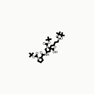 CC(C)(C)OC(=O)N1CCCC1C(=O)NC1CN(C(=O)OC(C)(C)C)C(CCCCB2OC(C)(C)C(C)(C)O2)(C(=O)O)C1